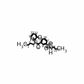 CCCCN1C(=O)c2cc(S(=O)(=O)NCCC)ccc2Oc2cccnc21